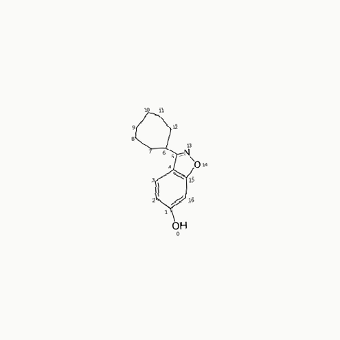 Oc1ccc2c(C3CCCCCC3)noc2c1